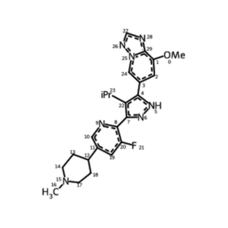 COc1cc(-c2[nH]nc(-c3ncc(C4CCN(C)CC4)cc3F)c2C(C)C)cn2ncnc12